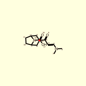 CN(C)/C=C/C(=O)C1CC2CCC(C1)N2C(=O)O